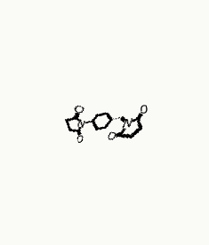 O=C1C=CC(=O)N1C[C@H]1CC[C@H](N2C(=O)CCC2=O)CC1